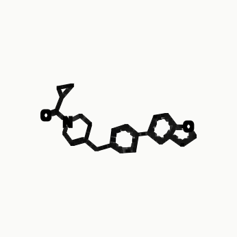 O=C(C1CC1)N1CC=C(Cc2ccc(-c3ccc4occc4c3)cc2)CC1